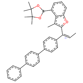 C/C=C(/c1ccc(-c2ccc(-c3ccccc3)cc2)cc1)c1oc2cccc(B3OC(C)(C)C(C)(C)O3)c2c1C